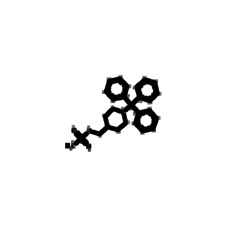 CS(=O)(=O)OCC1CCN(C(c2ccccc2)(c2ccccc2)c2ccccc2)CC1